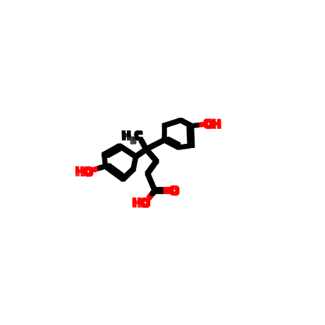 CC(CCC(=O)O)(C1=CC=C(O)CC1)C1C=CC(O)=CC1